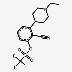 CCN1CCC(c2cccc(OS(=O)(=O)C(F)(F)F)c2C#N)CC1